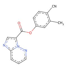 Cc1cc(OC(=O)c2cnc3cccnn23)ccc1C#N